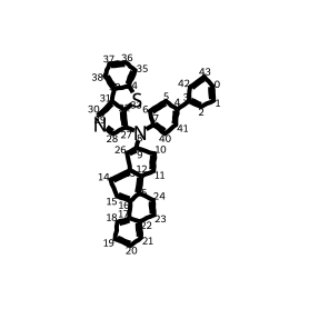 c1ccc(-c2ccc(N(c3ccc4c(ccc5c6ccccc6ccc45)c3)c3cncc4c3sc3ccccc34)cc2)cc1